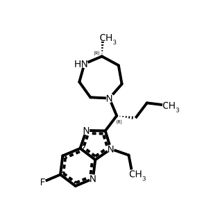 CCC[C@H](c1nc2cc(F)cnc2n1CC)N1CCN[C@H](C)CC1